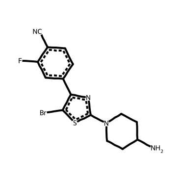 N#Cc1ccc(-c2nc(N3CCC(N)CC3)sc2Br)cc1F